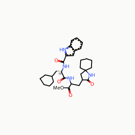 COC(=O)C(CC1CC2(CCCCC2)NC1=O)NC(=O)[C@H](CC1CCCCC1)NC(=O)c1cc2ccccc2[nH]1